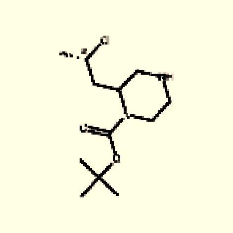 C[C@H](Cl)CC1CNCCN1C(=O)OC(C)(C)C